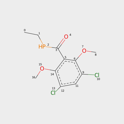 CCPC(=O)c1c(OC)c(Cl)cc(Cl)c1OC